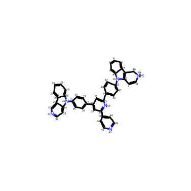 C1=Cc2c(c3ccccc3n2-c2ccc(-c3cc(-c4ccc(-n5c6ccccc6c6cnccc65)cc4)cc(-c4ccncc4)n3)cc2)CN1